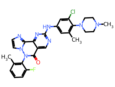 Cc1cc(Nc2ncc3c(=O)n(-c4c(C)cccc4F)n4ccnc4c3n2)cc(Cl)c1N1CCN(C)CC1